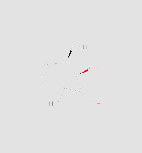 CC1(C)C(O)[C@@]1(O)[C@@H](O)C(=O)O